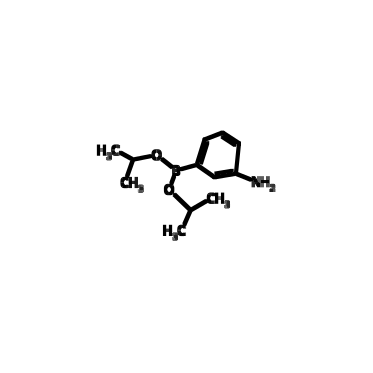 CC(C)OB(OC(C)C)c1cccc(N)c1